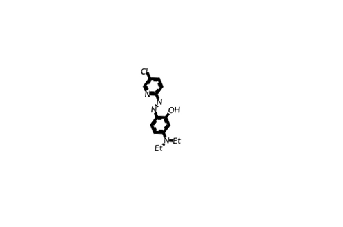 CCN(CC)c1ccc(N=Nc2ccc(Cl)cn2)c(O)c1